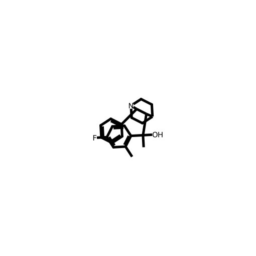 Cc1cc(F)ccc1C(C)(O)C1C2CCN(CC2)C1c1ccccc1